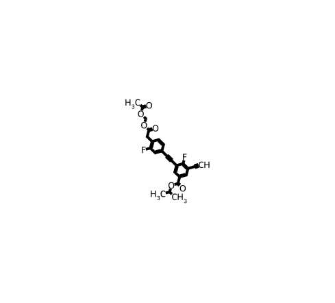 C#Cc1cc(C(=O)OC(C)C)cc(C#Cc2ccc(CC(=O)OCOC(C)=O)c(F)c2)c1F